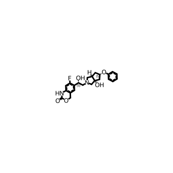 O=C1Nc2cc(F)c([C@H](O)CN3C[C@H]4C[C@H](Oc5ccccc5)C[C@@]4(O)C3)cc2CO1